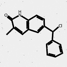 Cc1cc2cc(C(Cl)c3ccccc3)ccc2[nH]c1=O